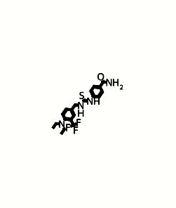 CCN(CC)c1ccc(CNC(=S)Nc2ccc(C(N)=O)cc2)cc1C(F)(F)F